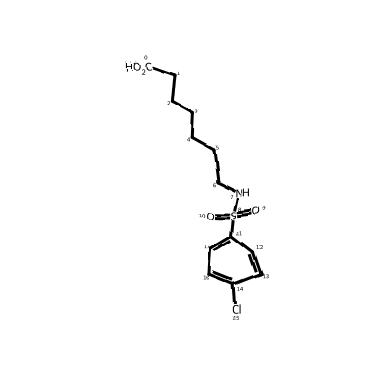 O=C(O)CCCCCCNS(=O)(=O)c1ccc(Cl)cc1